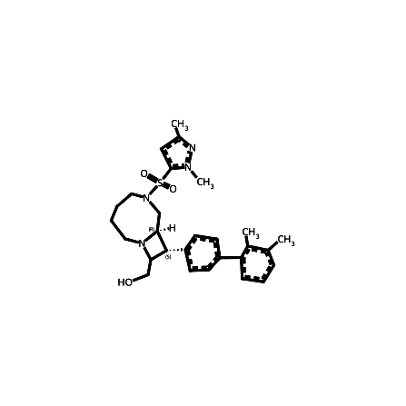 Cc1cc(S(=O)(=O)N2CCCCN3C(CO)[C@@H](c4ccc(-c5cccc(C)c5C)cc4)[C@@H]3C2)n(C)n1